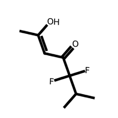 CC(O)=CC(=O)C(F)(F)C(C)C